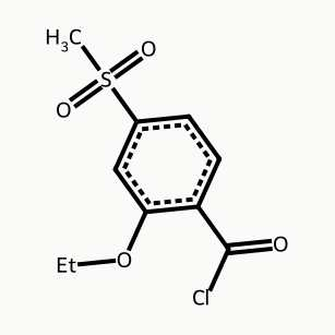 CCOc1cc(S(C)(=O)=O)ccc1C(=O)Cl